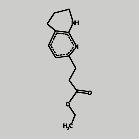 CCOC(=O)CCc1ccc2c(n1)NCCC2